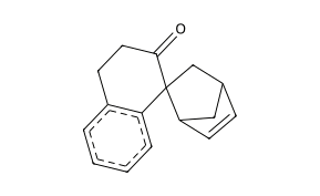 O=C1CCc2ccccc2C12CC1C=CC2C1